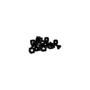 O=C(O)c1cnn(-c2cccc(-c3ccccc3OCc3ccc(C4CCN(C(=O)C5CC5)CC4)cc3)n2)c1C(F)(F)F